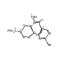 CC(=NO)c1cnc(C)nc1C1CCN(C(=O)O)CC1